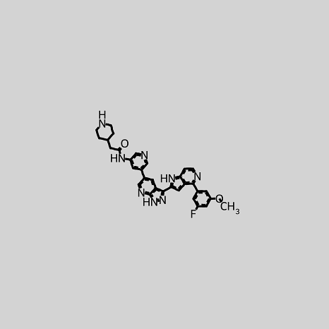 COc1cc(F)cc(-c2nccc3[nH]c(-c4n[nH]c5ncc(-c6cncc(NC(=O)CC7CCNCC7)c6)cc45)cc23)c1